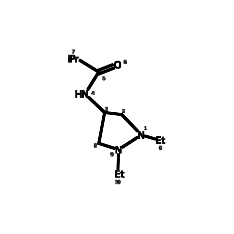 CCN1CC(NC(=O)C(C)C)CN1CC